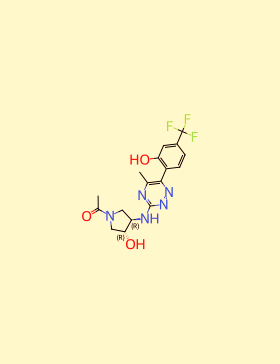 CC(=O)N1C[C@@H](O)[C@H](Nc2nnc(-c3ccc(C(F)(F)F)cc3O)c(C)n2)C1